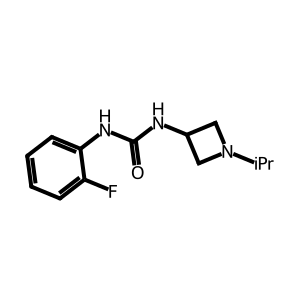 CC(C)N1CC(NC(=O)Nc2ccccc2F)C1